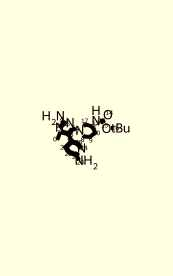 Cc1nc(N)nc(N2CCCC(NC(=O)OC(C)(C)C)C2)c1-c1ccc(N)nc1